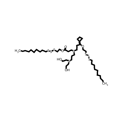 CCCCCCCCCCSSSCCOC(=O)CCN(CCCN(CCO)CCO)CCC(OCCSSSCCCCCCCCCC)=C1CCC1